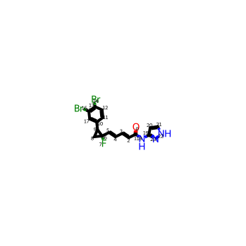 O=C(/C=C/C=C/C1(F)CC1c1ccc(Br)c(Br)c1)Nc1cc[nH]n1